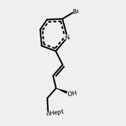 CCCCCCCC[C@H](O)/C=C/c1cccc(Br)n1